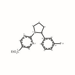 CCOC(=O)c1cnc(N2CCCC2c2cccc(F)c2)nc1